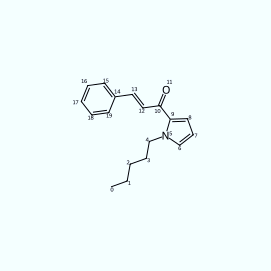 CCCCCn1cccc1C(=O)/C=C/c1ccccc1